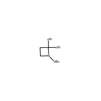 CCCCN1CCC1(CCC)CCC